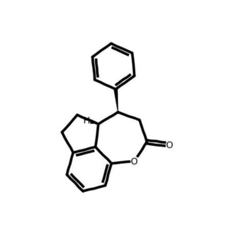 O=C1C[C@H](c2ccccc2)[C@H]2CCc3cccc(c32)O1